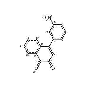 O=C1C=C(c2cccc([N+](=O)[O-])c2)c2ccccc2C1=O